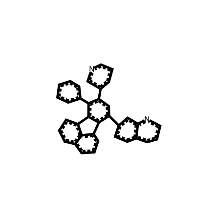 c1ccc(-c2c(-c3cccnc3)cc(-c3ccc4cccnc4c3)c3c2-c2cccc4cccc-3c24)cc1